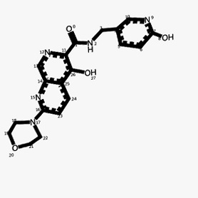 O=C(NCc1ccc(O)nc1)c1ncc2nc(N3CCOCC3)ccc2c1O